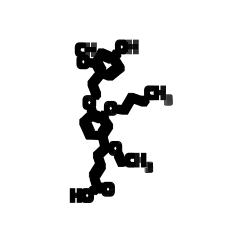 CCCCOc1cc(C(CC=CC(=O)O)OCC)ccc1OCCc1ccc(O)cc1OC